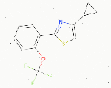 FC(F)(F)Oc1[c]cccc1-c1nc(C2CC2)cs1